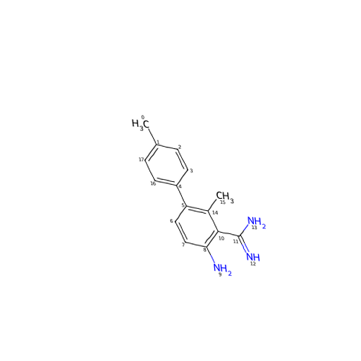 Cc1ccc(-c2ccc(N)c(C(=N)N)c2C)cc1